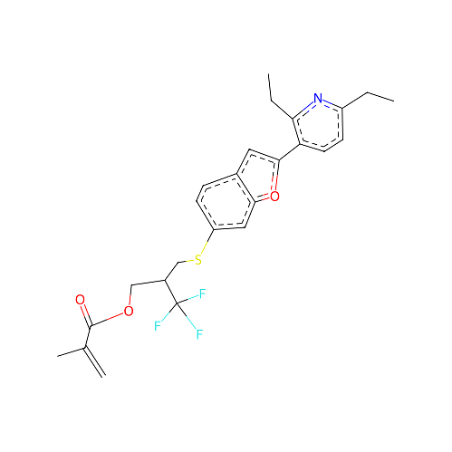 C=C(C)C(=O)OCC(CSc1ccc2cc(-c3ccc(CC)nc3CC)oc2c1)C(F)(F)F